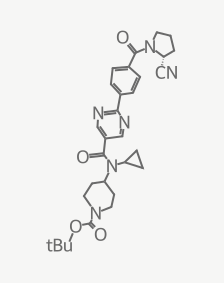 CC(C)(C)OC(=O)N1CCC(N(C(=O)c2cnc(-c3ccc(C(=O)N4CCC[C@@H]4C#N)cc3)nc2)C2CC2)CC1